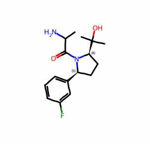 CC(N)C(=O)N1[C@H](c2cccc(F)c2)CC[C@@H]1C(C)(C)O